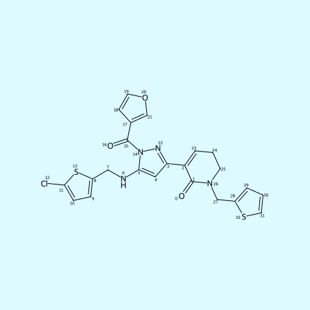 O=C1C(c2cc(NCc3ccc(Cl)s3)n(C(=O)c3ccoc3)n2)=CCCN1Cc1cccs1